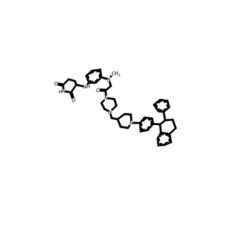 CN(CC(=O)N1CCN(CC2CCN(c3ccc(C4c5ccccc5CCC4c4ccccc4)cc3)CC2)CC1)c1cccc(NC2CCC(=O)NC2=O)c1